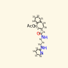 CC(=O)OC1C=C(CC(=O)NCCCNc2ccccn2)C=Cc2ccccc21